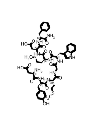 CSCC[C@H](NC(=O)[C@H](Cc1ccc(O)cc1)NC(=O)[C@H](N)CC(=O)O)C(=O)NCC(=O)N[C@@H](Cc1c[nH]c2ccccc12)C(=O)N[C@@H](CCSC)C(=O)N[C@@H](CC(=O)O)C(=O)N[C@@H](Cc1ccccc1)C(N)=O